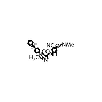 CNCCOc1ccc(NC(=O)c2cnn3c2C(=O)N(c2ccc(C(F)(F)c4ccccc4)cc2)[C@@H](C)C3)cc1C#N